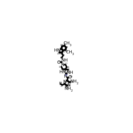 Cc1cc(C)c2c(CCNC(=O)N3CCC4(CC3)CN/C(=N\C(=O)c3nc(CI)c(N)nc3N)N4)c[nH]c2c1